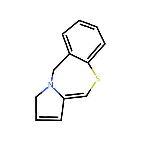 C1=CC2=CSc3ccccc3CN2C1